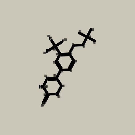 CC(C)(C)CCc1ccc(C2=NNC(=O)OC2)cc1C(F)(F)F